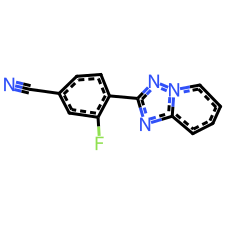 N#Cc1ccc(-c2nc3ccccn3n2)c(F)c1